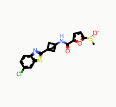 C[S+]([O-])c1ccc(C(=O)NC23CC(c4nc5ccc(Cl)cc5s4)(C2)C3)o1